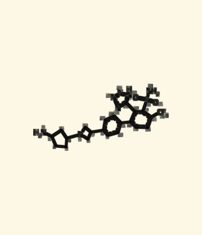 NC1CCC(N2CC(c3ccc(-c4ccc(C(F)(F)F)c(S(N)(=O)=O)c4-c4nnn[nH]4)cc3)C2)C1